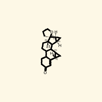 CC[C@]12CCC3C4CCC(=O)C=C4[C@H]4C[C@H]4C3C1[C@@H]1C[C@@H]1[C@@]21CCCO1